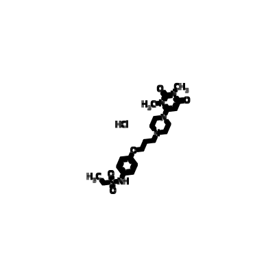 CCS(=O)(=O)Nc1ccc(OCCCN2CCN(c3cc(=O)n(C)c(=O)n3C)CC2)cc1.Cl